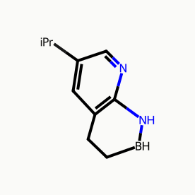 CC(C)c1cnc2c(c1)CCBN2